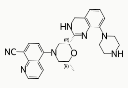 C[C@@H]1CN(c2ccc(C#N)c3ncccc23)C[C@H](C2=Nc3c(cccc3N3CCNCC3)CN2)O1